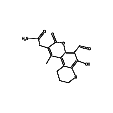 Cc1c(CC(N)=O)c(=O)oc2c(C=O)c(O)c3c(c12)CCCO3